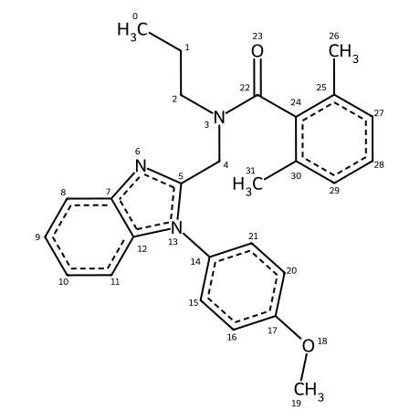 CCCN(Cc1nc2ccccc2n1-c1ccc(OC)cc1)C(=O)c1c(C)cccc1C